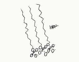 CCCCCCCCCCCCCCOP(=O)([O-])[O-].CCCCCCCCCCCCCCOP(=O)([O-])[O-].CCCCCCCCCCCCCCOP(=O)([O-])[O-].[In+3].[In+3]